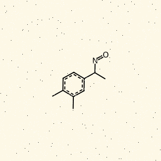 Cc1ccc(C(C)N=O)cc1C